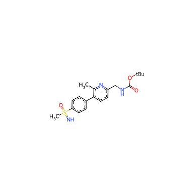 Cc1nc(CNC(=O)OC(C)(C)C)ccc1-c1ccc(S(C)(=N)=O)cc1